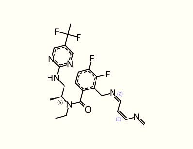 C=N/C=C\C=N/Cc1c(C(=O)N(CC)[C@@H](C)CNc2ncc(C(C)(F)F)cn2)ccc(F)c1F